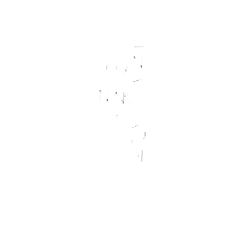 CC1(C)OC2(CCNCC2)C2=C1NCC=C2C1=NC(=O)C2(Cc3ccc(O)cc3C2)O1